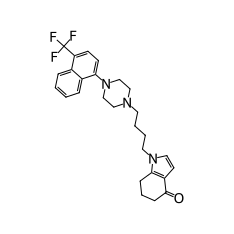 O=C1CCCc2c1ccn2CCCCN1CCN(c2ccc(C(F)(F)F)c3ccccc23)CC1